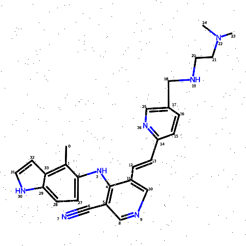 Cc1c(Nc2c(C#N)cncc2/C=C/c2ccc(CNCCN(C)C)cn2)ccc2[nH]ccc12